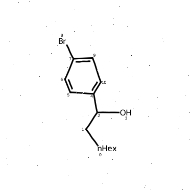 CCCCCCCC(O)c1ccc(Br)cc1